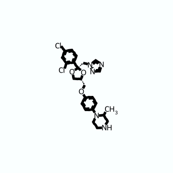 CC1CNCCN1c1ccc(OC[C@@H]2CO[C@@](Cn3cncn3)(c3ccc(Cl)cc3Cl)O2)cc1